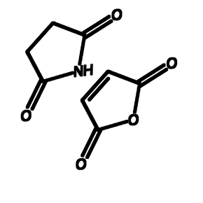 O=C1C=CC(=O)O1.O=C1CCC(=O)N1